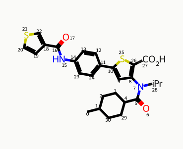 CC1CCC(C(=O)N(c2cc(-c3ccc(NC(=O)c4ccsc4)cc3)sc2C(=O)O)C(C)C)CC1